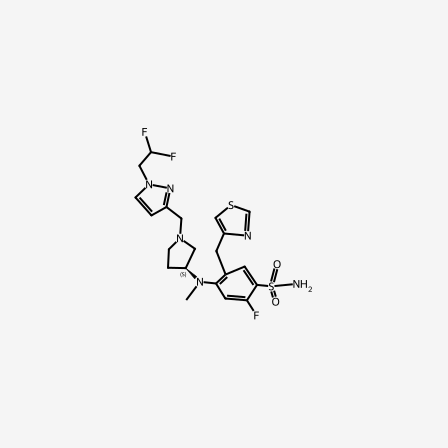 CN(c1cc(F)c(S(N)(=O)=O)cc1Cc1cscn1)[C@H]1CCN(Cc2ccn(CC(F)F)n2)C1